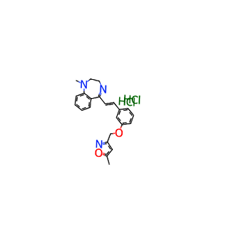 Cc1cc(COc2cccc(/C=C/C3=NCCN(C)c4ccccc43)c2)no1.Cl.Cl